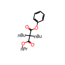 CCCCC(CCCC)(C(=O)OCCC)C(=O)Oc1ccccc1